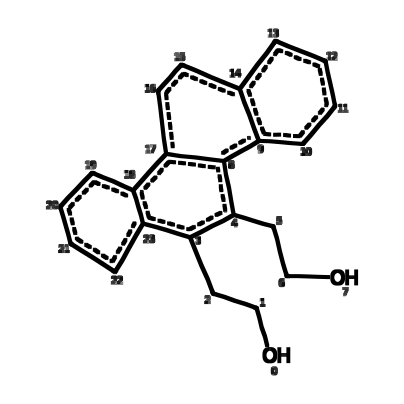 OCCc1c(CCO)c2c3ccccc3ccc2c2ccccc12